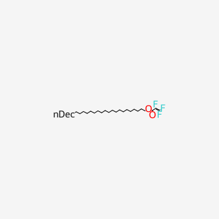 CCCCCCCCCCCCCCCCCCCCCCCCCCCCCCOC(=O)C(F)=C(F)F